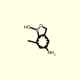 Cc1cc(N)cc2c1B(O)OC2